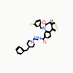 O=C(NCCN1CCC(Cc2ccccc2)CC1)c1ccc2c(c1)N(Cc1cccc(F)c1)C(=O)C[C@@H]1CSC=C21